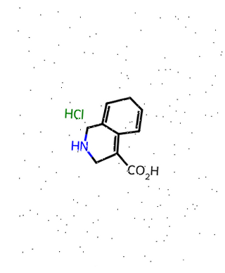 Cl.O=C(O)C1=C2C=CCC=C2CNC1